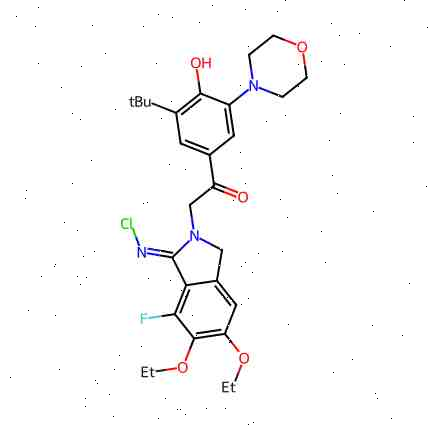 CCOc1cc2c(c(F)c1OCC)/C(=N/Cl)N(CC(=O)c1cc(N3CCOCC3)c(O)c(C(C)(C)C)c1)C2